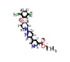 CCOC(=O)c1cncc(-c2ccc(N3CCC(Oc4cc(F)ccc4Br)CC3)nc2)c1